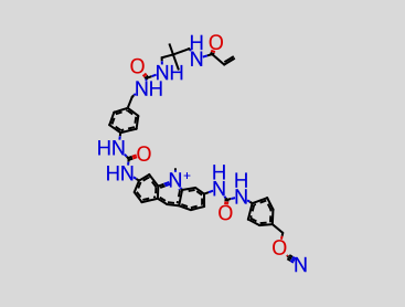 C=CC(=O)NCC(C)(C)CNC(=O)NCc1ccc(NC(=O)Nc2ccc3cc4ccc(NC(=O)Nc5ccc(COC#N)cc5)cc4[n+](C)c3c2)cc1